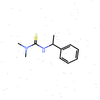 CC(NC(=S)N(C)C)c1ccccc1